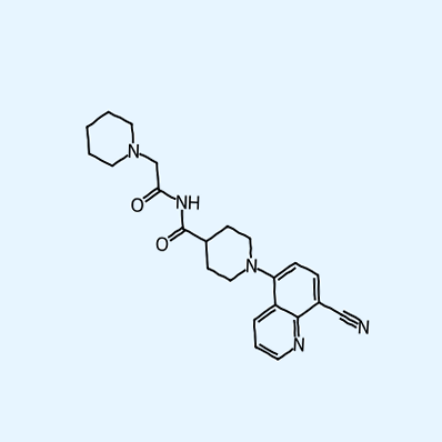 N#Cc1ccc(N2CCC(C(=O)NC(=O)CN3CCCCC3)CC2)c2cccnc12